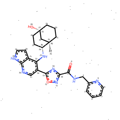 O=C(NCc1ccccn1)c1noc(-c2cnc3[nH]ccc3c2N[C@@H]2CC[C@@]3(O)CCC[C@@H]2C3)n1